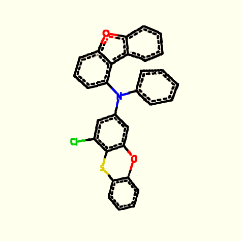 Clc1cc(N(c2ccccc2)c2cccc3oc4ccccc4c23)cc2c1Sc1ccccc1O2